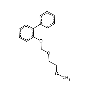 COCCOCOc1ccccc1-c1ccccc1